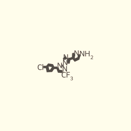 Nc1ccc(-c2cn(-c3nc(-c4ccc(Cl)cc4)cc(C(F)(F)F)n3)cn2)cn1